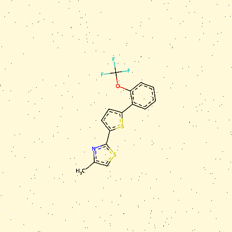 Cc1[c]sc(-c2ccc(-c3ccccc3OC(F)(F)F)s2)n1